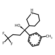 Cc1cccc([C@](O)(CCC(F)(F)F)C2CCCNC2)c1